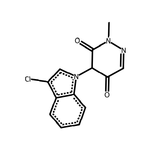 CN1N=CC(=O)C(n2cc(Cl)c3ccccc32)C1=O